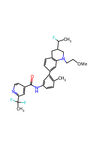 COCCN1CC(C(C)F)Cc2ccc(-c3cc(NC(=O)c4ccnc(C(C)(F)F)c4)ccc3C)cc21